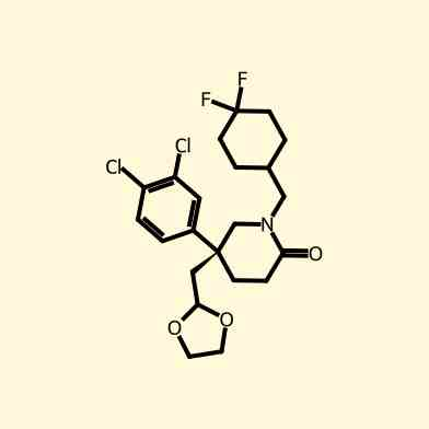 O=C1CC[C@](CC2OCCO2)(c2ccc(Cl)c(Cl)c2)CN1CC1CCC(F)(F)CC1